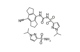 CC(C)n1ccc(S(=O)(=O)NC(=O)Nc2c3c(c(C#N)c4c2CCC4)CCC3)n1.CC(C)n1ccc(S(N)(=O)=O)n1